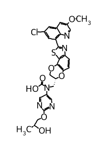 COc1cnc2c(-c3nc4ccc5c(c4s3)OC[C@@H](CN(C(=O)O)c3cnc(OC[C@H](C)O)nc3)O5)cc(Cl)cc2c1